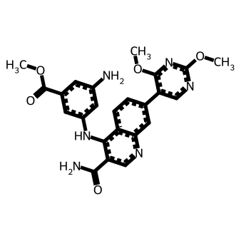 COC(=O)c1cc(N)cc(Nc2c(C(N)=O)cnc3cc(-c4cnc(OC)nc4OC)ccc23)c1